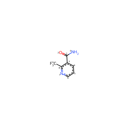 NC(=O)c1[c]ccnc1C(F)(F)F